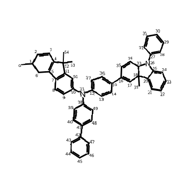 CC1C=CC2=C(C1)c1ccc(N(c3ccc(C4=CC5(C)c6ccccc6N(c6ccccc6)C5C=C4)cc3)c3ccc(-c4ccccc4)cc3)cc1C2(C)C